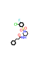 O=C(CCc1ccccc1)NC1CCCN(S(=O)(=O)c2ccc(F)c(Cl)c2)C1